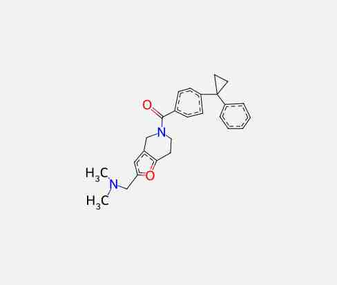 CN(C)Cc1cc2c(o1)CCN(C(=O)c1ccc(C3(c4ccccc4)CC3)cc1)C2